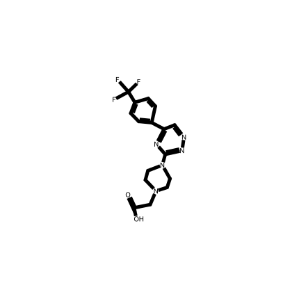 O=C(O)CN1CCN(c2nncc(-c3ccc(C(F)(F)F)cc3)n2)CC1